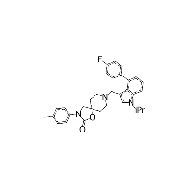 Cc1ccc(N2CC3(CCN(Cc4cn(C(C)C)c5cccc(-c6ccc(F)cc6)c45)CC3)OC2=O)cc1